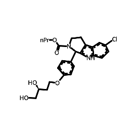 CCCOC(=O)N1CCc2c([nH]c3ccc(Cl)cc23)C1c1ccc(OCC[C@H](O)CO)cc1